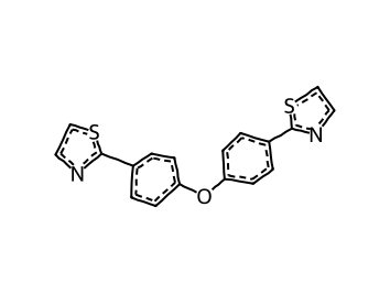 c1csc(-c2ccc(Oc3ccc(-c4nccs4)cc3)cc2)n1